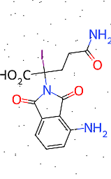 NC(=O)CCC(I)(C(=O)O)N1C(=O)c2cccc(N)c2C1=O